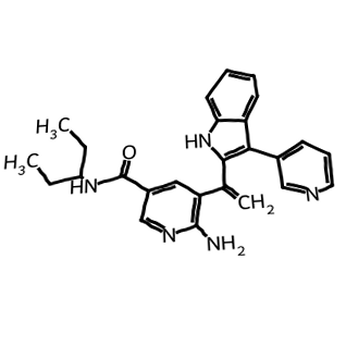 C=C(c1cc(C(=O)NC(CC)CC)cnc1N)c1[nH]c2ccccc2c1-c1cccnc1